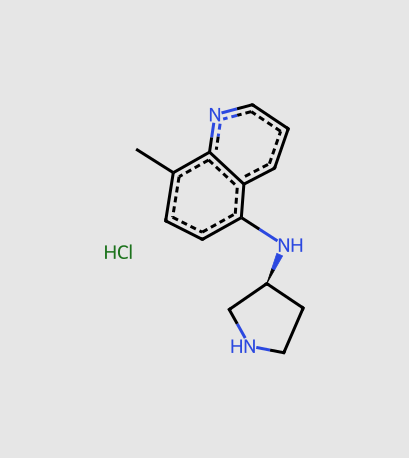 Cc1ccc(N[C@H]2CCNC2)c2cccnc12.Cl